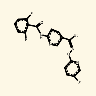 CCC(=NOc1ccc(Br)cn1)c1ccc(NC(=O)c2c(F)cccc2F)nc1